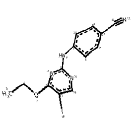 CCOc1nc(Nc2ccc(C#N)cc2)ncc1I